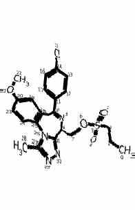 CCCS(=O)(=O)OC[C@@H]1N=C(c2ccc(Cl)cc2)c2cc(OC)ccc2-n2c(C)nnc21